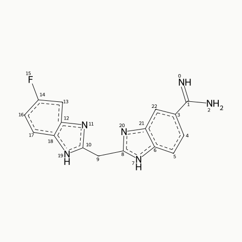 N=C(N)c1ccc2[nH]c(Cc3nc4cc(F)ccc4[nH]3)nc2c1